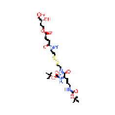 CC(C)(C)OC(=O)NCCCC(NC(=O)OC(C)(C)C)C(=O)NCCSSCCNC(=O)CCC(=O)OCC[C@@H](O)CO